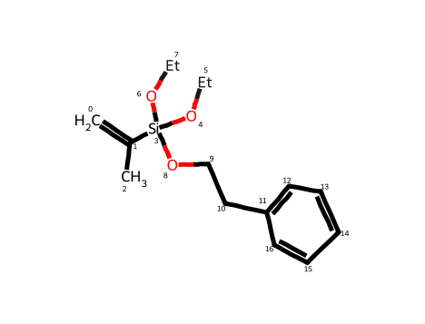 C=C(C)[Si](OCC)(OCC)OCCc1ccccc1